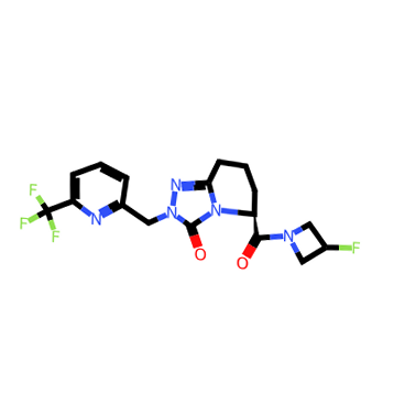 O=C([C@@H]1CCCc2nn(Cc3cccc(C(F)(F)F)n3)c(=O)n21)N1CC(F)C1